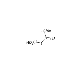 CCC(CC(=O)O)OC